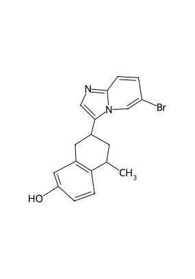 CC1CC(c2cnc3ccc(Br)cn23)Cc2cc(O)ccc21